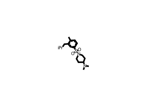 Cc1ccc(S(=O)(=O)N2CCC(N(C)C)CC2)cc1CC(C)C